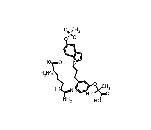 CC(C)(Oc1cccc(CCCn2ccc3cc(OS(C)(=O)=O)ccc32)c1)C(=O)O.N=C(N)NCCC[C@H](N)C(=O)O